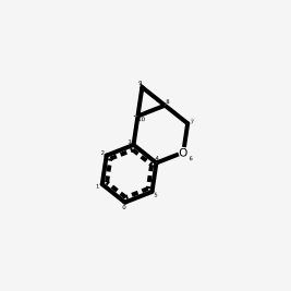 c1ccc2c(c1)OCC1C[C]21